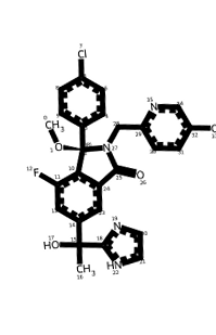 CO[C@]1(c2ccc(Cl)cc2)c2c(F)cc(C(C)(O)c3ncc[nH]3)cc2C(=O)N1Cc1ccc(Cl)cn1